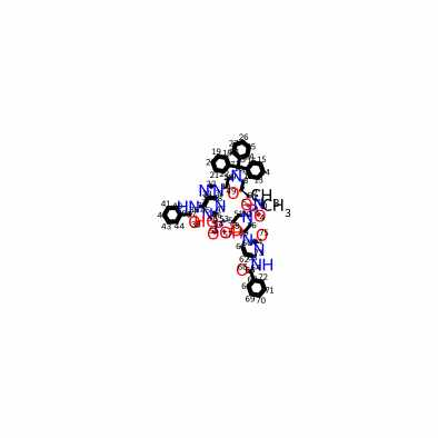 CN(C)P(=O)(OC[C@@H]1CN(C(c2ccccc2)(c2ccccc2)c2ccccc2)C[C@H](n2cnc3c(NC(=O)c4ccccc4)ncnc32)O1)N1C[C@@H](CP(=O)(O)O)O[C@@H](n2ccc(NC(=O)c3ccccc3)nc2=O)C1